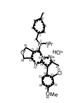 CCCN(Cc1ccc(C)cc1)c1c2c(nc3c(-c4ccc(OC)cc4Cl)c(C)nn13)COC2.Cl